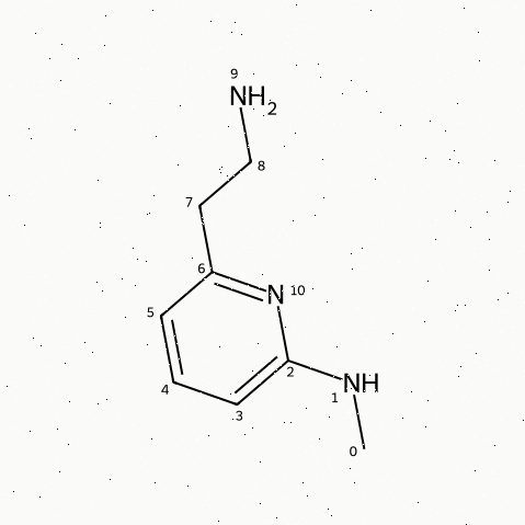 CNc1cccc(CCN)n1